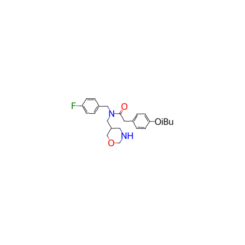 CC(C)COc1ccc(CC(=O)N(Cc2ccc(F)cc2)CC2CNCOC2)cc1